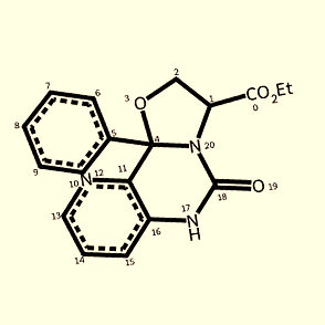 CCOC(=O)C1COC2(c3ccccc3)c3ncccc3NC(=O)N12